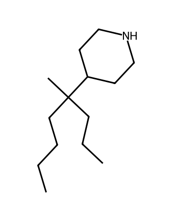 CCCCC(C)(CCC)C1CCNCC1